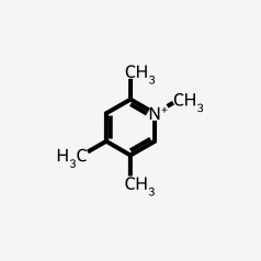 Cc1cc(C)[n+](C)cc1C